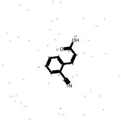 N#Cc1ccccc1/C=C\C(=O)O